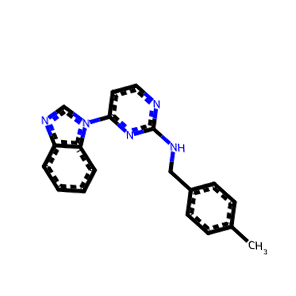 Cc1ccc(CNc2nccc(-n3cnc4ccccc43)n2)cc1